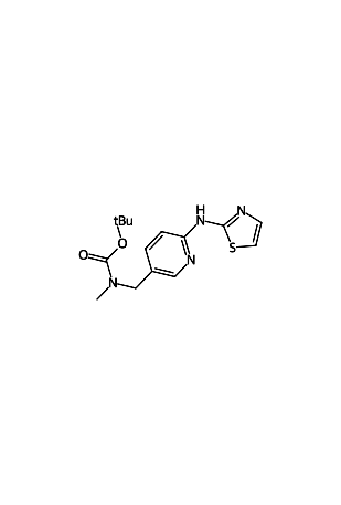 CN(Cc1ccc(Nc2nccs2)nc1)C(=O)OC(C)(C)C